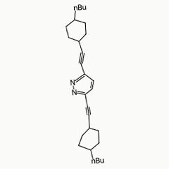 CCCCC1CCC(C#Cc2ccc(C#CC3CCC(CCCC)CC3)nn2)CC1